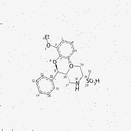 CCOc1ccccc1O[C@H](c1ccccc1)[C@H]1CNCCO1.CS(=O)(=O)O